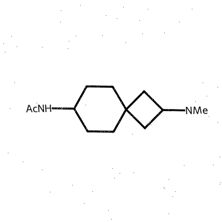 CNC1CC2(CCC(NC(C)=O)CC2)C1